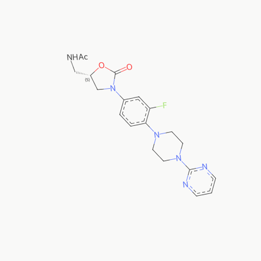 CC(=O)NC[C@H]1CN(c2ccc(N3CCN(c4ncccn4)CC3)c(F)c2)C(=O)O1